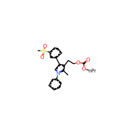 CCCOC(=O)OCCc1c(-c2cccc(S(C)(=O)=O)c2)cn(-c2ccccc2)c1C